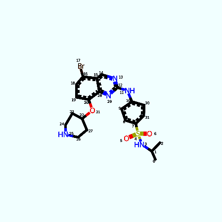 CC(C)NS(=O)(=O)c1ccc(Nc2ncc3c(Br)ccc(OC4CCNCC4)c3n2)cc1